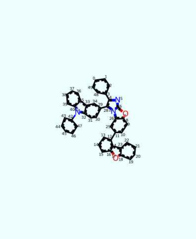 c1ccc(-c2nc3oc4ccc(-c5cccc6oc7ccccc7c56)cc4n3c2-c2ccc3c(c2)c2ccccc2n3-c2ccccc2)cc1